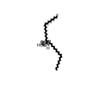 CCCCCCCC/C=C\CCCCCCCCC1=NC(CCCCCCCC/C=C\CCCCCCCC)CN1.O=S(=O)(O)O